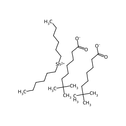 CC(C)(C)CCCCCC(=O)[O-].CC(C)(C)CCCCCC(=O)[O-].CCCCC[CH2][Sn+2][CH2]CCCCC